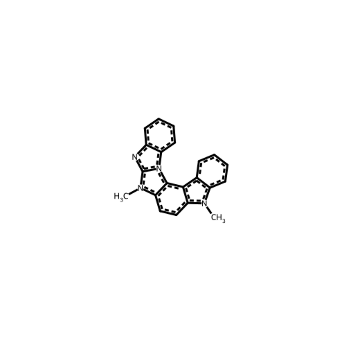 Cn1c2ccccc2c2c1ccc1c2n2c3ccccc3nc2n1C